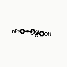 CCCC1CCC(C#CC2CCC(OC(=O)C3CCC(O)CC3)CC2)CC1